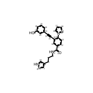 O=C(NCCCc1cn[nH]c1)c1ccc(-n2cccn2)c(C#Cc2cccc(O)c2)c1